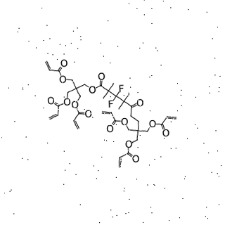 C=CC(=O)OCC(CCC(=O)C(C)(C)C(F)(F)C(C)(C)C(=O)OCC(COC(=O)C=C)(COC(=O)C=C)COC(=O)C=C)(COC(=O)C=C)COC(=O)C=C